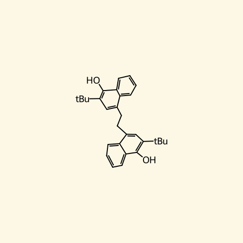 CC(C)(C)c1cc(CCc2cc(C(C)(C)C)c(O)c3ccccc23)c2ccccc2c1O